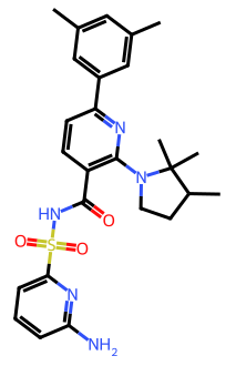 Cc1cc(C)cc(-c2ccc(C(=O)NS(=O)(=O)c3cccc(N)n3)c(N3CCC(C)C3(C)C)n2)c1